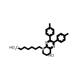 Cc1ccc(-c2nc3c(nc2-c2ccc(C)cc2)N(CCCCCCC(=O)O)CCC3)cc1.Cl